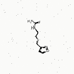 NC(=S)NCCSCc1ccon1